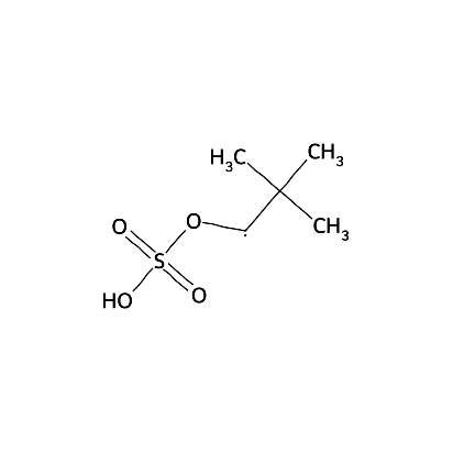 CC(C)(C)[CH]OS(=O)(=O)O